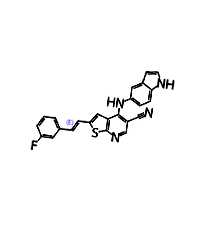 N#Cc1cnc2sc(/C=C/c3cccc(F)c3)cc2c1Nc1ccc2[nH]ccc2c1